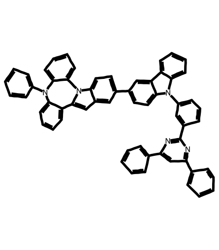 c1ccc(-c2cc(-c3ccccc3)nc(-c3cccc(-n4c5ccccc5c5cc(-c6ccc7c(c6)cc6n7-c7ccccc7N(c7ccccc7)c7ccccc7-6)ccc54)c3)n2)cc1